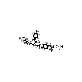 CCOC(Cc1ccc(OCCN(CCOC(F)(F)C(F)(F)C(F)(F)F)C(=O)Nc2ccc(F)cc2)cc1)C(=O)O